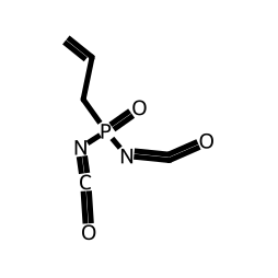 C=CCP(=O)(N=C=O)N=C=O